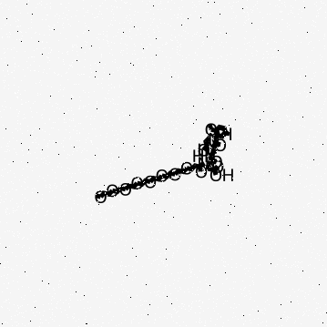 COCCOCCOCCOCCOCCOCCOCCOCCC(=O)NC(CC(=O)O)C(=O)NCN1C(=O)CCN(c2cc(I)ccc2OC)C1=O